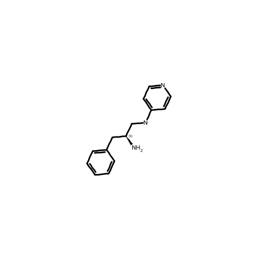 N[C@H](C[N]c1ccncc1)Cc1ccccc1